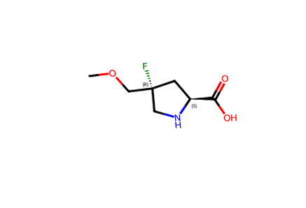 COC[C@]1(F)CN[C@H](C(=O)O)C1